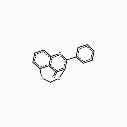 O=c1c2c(-c3ccccc3)oc3cccc(c13)OCO2